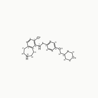 Clc1ccc2c(c1NCc1ccc(OCC3CCOCC3)cc1)CCNCC2